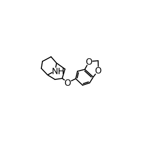 c1cc2c(cc1OC1CC3CCCC(C1)N3)OCO2